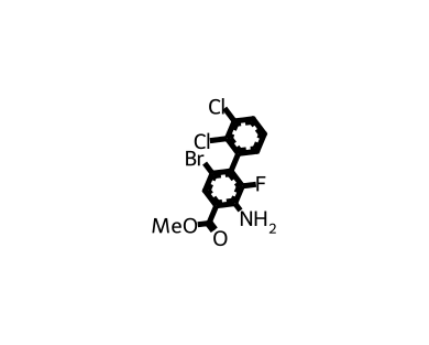 COC(=O)c1cc(Br)c(-c2cccc(Cl)c2Cl)c(F)c1N